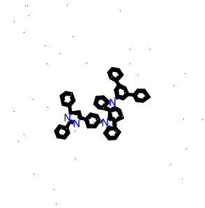 c1ccc(-c2cc(-c3ccccc3)cc(-n3c4ccccc4c4c3ccc3c5ccccc5n(-c5ccc(-c6cc(-c7ccccc7)nc(-c7ccccc7)n6)cc5)c34)c2)cc1